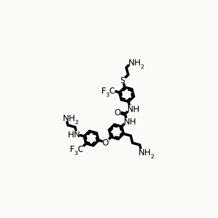 NCCCc1cc(Oc2ccc(NCCN)c(C(F)(F)F)c2)ccc1NC(=O)Nc1ccc(SCCN)c(C(F)(F)F)c1